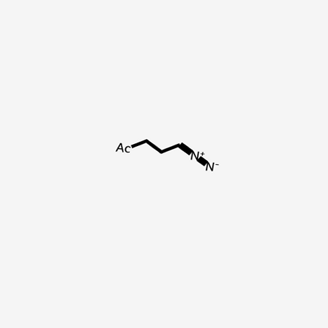 CC(=O)CCC=[N+]=[N-]